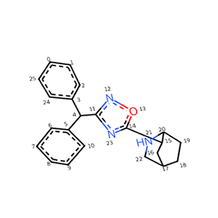 c1ccc(C(c2ccccc2)c2noc(C3CC4CCC3NC4)n2)cc1